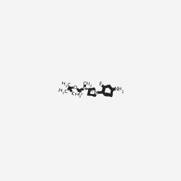 CN(C(=O)OC(C)(C)C)[C@@H]1CCN(c2ccc(N)cc2F)C1